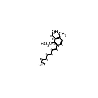 Cc1ccc(C=CCCCCC(C)C)c(C(=O)O)c1CO